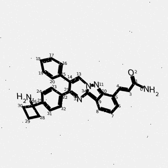 NC(=O)C=Cc1cccc2c1nn1cc(-c3ccccc3)c(-c3ccc(C4(N)CCC4)cc3)nc21